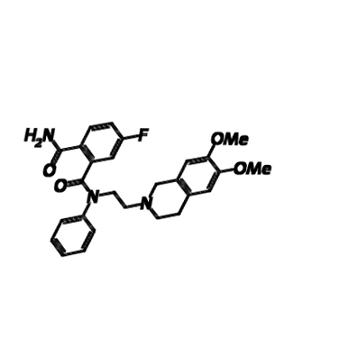 COc1cc2c(cc1OC)CN(CCN(C(=O)c1cc(F)ccc1C(N)=O)c1ccccc1)CC2